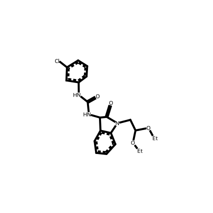 CCOC(CN1C(=O)C(NC(=O)Nc2cccc(Cl)c2)c2ccccc21)OCC